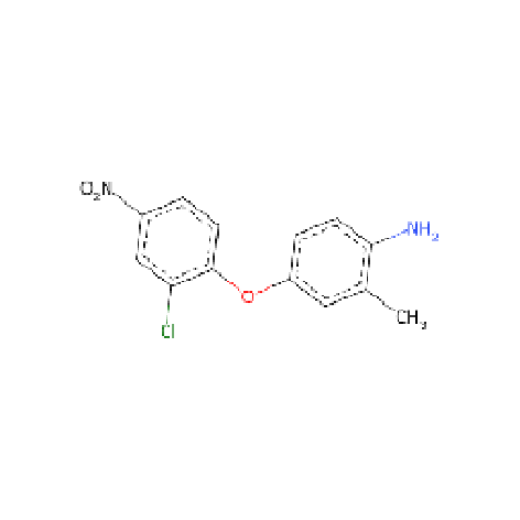 Cc1cc(Oc2ccc([N+](=O)[O-])cc2Cl)ccc1N